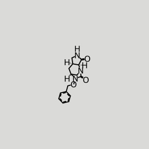 O=C1NC[C@@H]2C[C@@H]3CN(C(=O)N3OCc3ccccc3)[C@H]12